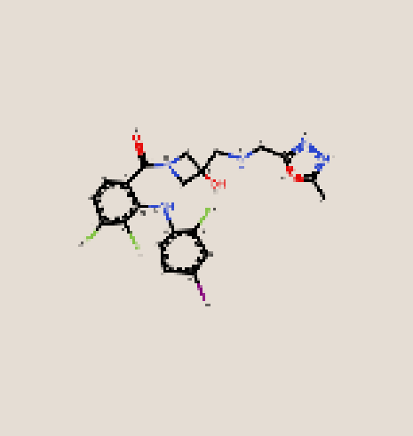 Cc1nnc(CNCC2(O)CN(C(=O)c3ccc(F)c(F)c3Nc3ccc(I)cc3F)C2)o1